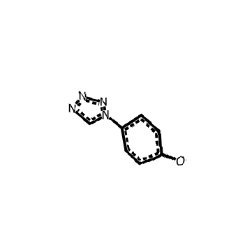 [O]c1ccc(-n2cnnn2)cc1